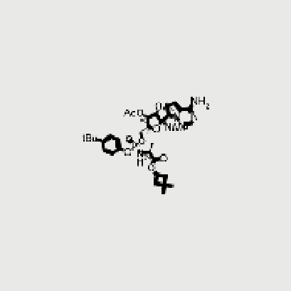 CN[C@@]1(c2ccc3c(N)ncnn23)O[C@H](COP(=O)(N[C@@H](C)C(=O)OC2CC(C)(C)C2)Oc2ccc(C(C)(C)C)cc2)[C@@H](OC(C)=O)[C@H]1OC(C)=O